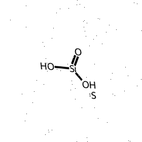 O=[Si](O)O.[S]